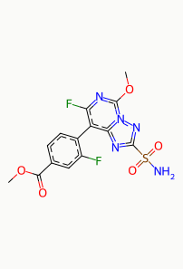 COC(=O)c1ccc(-c2c(F)nc(OC)n3nc(S(N)(=O)=O)nc23)c(F)c1